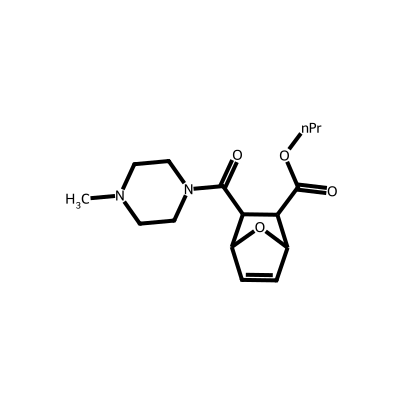 CCCOC(=O)C1C2C=CC(O2)C1C(=O)N1CCN(C)CC1